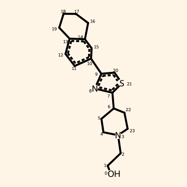 OCCN1CCC(c2nc(-c3ccc4c(c3)CCCC4)cs2)CC1